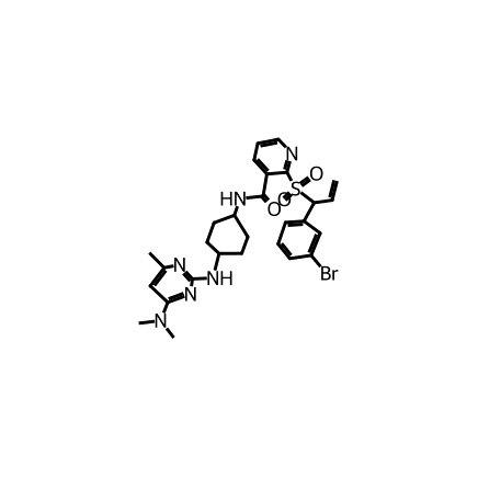 C=CC(c1cccc(Br)c1)S(=O)(=O)c1ncccc1C(=O)NC1CCC(Nc2nc(C)cc(N(C)C)n2)CC1